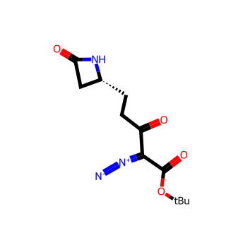 CC(C)(C)OC(=O)C(=[N+]=[N-])C(=O)CC[C@@H]1CC(=O)N1